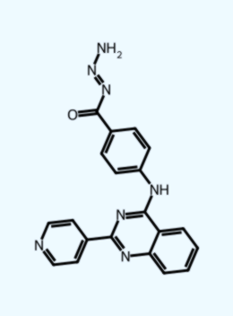 NN=NC(=O)c1ccc(Nc2nc(-c3ccncc3)nc3ccccc23)cc1